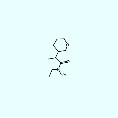 CCCN(CI)C(=O)C(C)C1CCCOC1